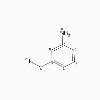 Nc1cccc(CI)c1